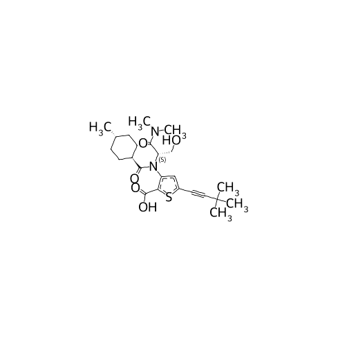 CN(C)C(=O)[C@H](CO)N(c1cc(C#CC(C)(C)C)sc1C(=O)O)C(=O)[C@H]1CC[C@H](C)CC1